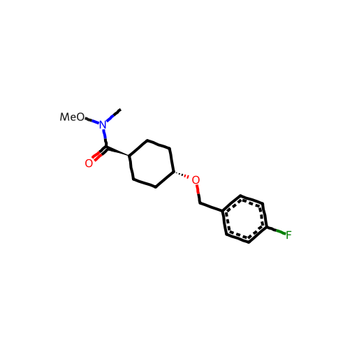 CON(C)C(=O)[C@H]1CC[C@H](OCc2ccc(F)cc2)CC1